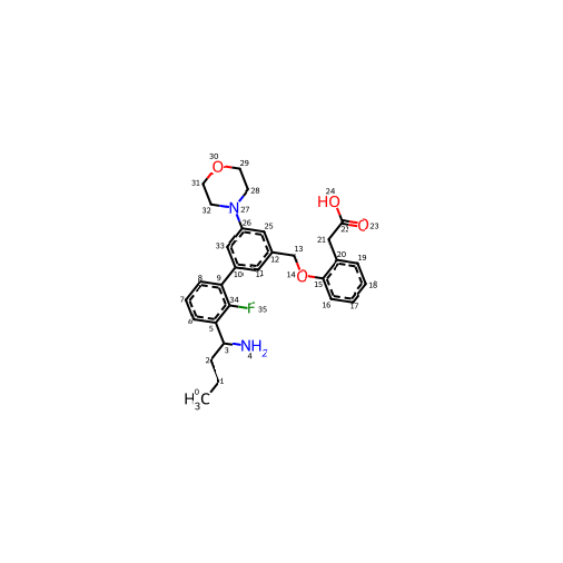 CCCC(N)c1cccc(-c2cc(COc3ccccc3CC(=O)O)cc(N3CCOCC3)c2)c1F